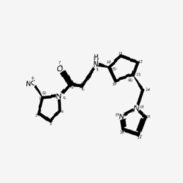 N#C[C@@H]1CCCN1C(=O)CN[C@H]1CC[C@@H](Cn2cccn2)C1